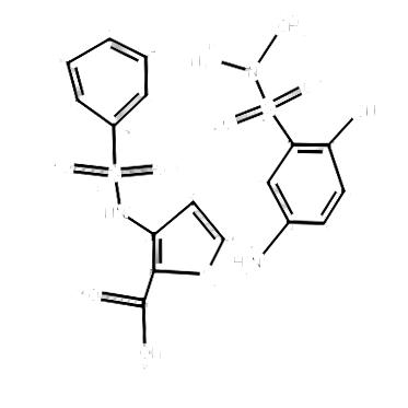 Cc1ccc(N)cc1S(=O)(=O)N(C)C.O=C(O)c1sccc1NS(=O)(=O)c1ccccc1